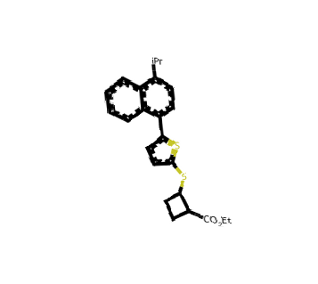 CCOC(=O)C1CCC1Sc1ccc(-c2ccc(C(C)C)c3ccccc23)s1